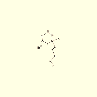 CCCCC[N+]1(C)CCCCC1.[Br-]